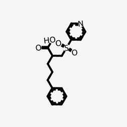 O=C(O)C(CCCc1ccccc1)CS(=O)(=O)c1ccncc1